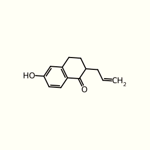 C=CCC1CCc2cc(O)ccc2C1=O